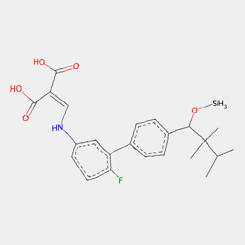 CC(C)C(C)(C)C(O[SiH3])c1ccc(-c2cc(NC=C(C(=O)O)C(=O)O)ccc2F)cc1